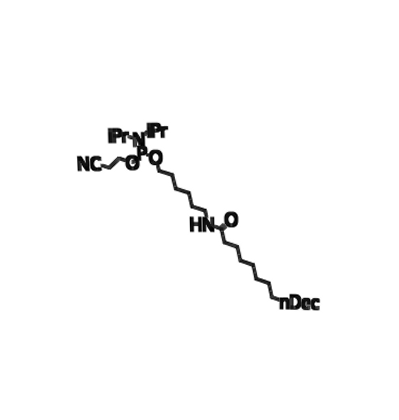 CCCCCCCCCCCCCCCCCC(=O)NCCCCCCOP(OCCC#N)N(C(C)C)C(C)C